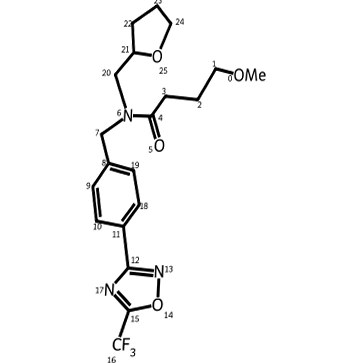 COCCCC(=O)N(Cc1ccc(-c2noc(C(F)(F)F)n2)cc1)CC1CCCO1